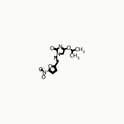 CC(C)OC1=NC(=O)N(N=Cc2ccc([N+](=O)[O-])o2)C1